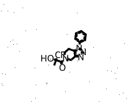 CC(O)(C(=O)N1CCc2c(nnn2-c2ccccc2)C1)C(F)(F)F